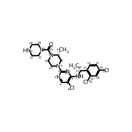 C[C@@H]1CN(c2ncc(Cl)c(N[C@H](C)c3ccc(Cl)cc3Cl)n2)CCN1C(=O)N1CCNCC1